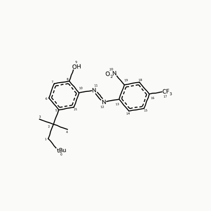 CC(C)(C)CC(C)(C)c1ccc(O)c(N=Nc2ccc(C(F)(F)F)cc2[N+](=O)[O-])c1